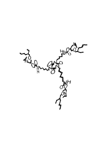 CCCCC(CC)COCC(CN1CC1C)OC(=O)NCCCCCCn1c(=O)n(CCCCCCNC(=O)OC(COCC(CC)CCCC)CN2CC2C)c(=O)n(CCCCCCNC(=O)OC(COCC(CC)CCCC)CN2CC2C)c1=O